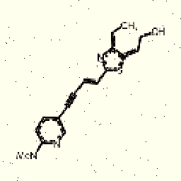 C/C=c1/nc(/C=C/C#Cc2ccc(NC)nc2)s/c1=C/CO